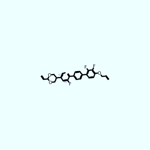 C=CCOc1ccc(-c2ccc(C(=C)/C(F)=C\C(=C/C)C3COC(C=C)OC3)cc2)c(F)c1F